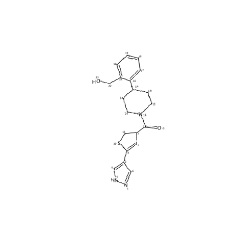 O=C(C1C=C(c2cn[nH]c2)SC1)N1CCC(c2ccccc2CO)CC1